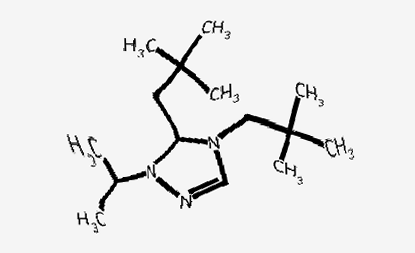 CC(C)N1N=CN(CC(C)(C)C)C1CC(C)(C)C